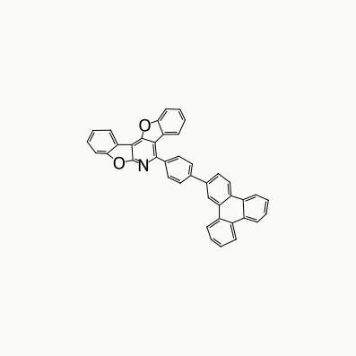 c1ccc2c(c1)oc1c2c(-c2ccc(-c3ccc4c5ccccc5c5ccccc5c4c3)cc2)nc2oc3ccccc3c21